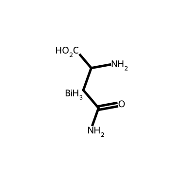 NC(=O)CC(N)C(=O)O.[BiH3]